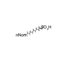 CCCCCCCCCCCCCCCCCC/C=C/S(=O)(=O)O